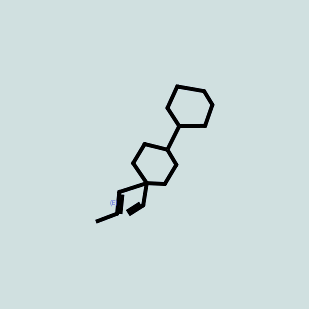 C=CC1(/C=C/C)CCC(C2CCCCC2)CC1